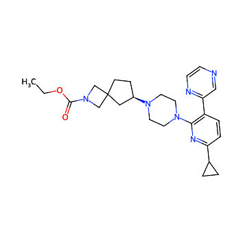 CCOC(=O)N1CC2(CC[C@@H](N3CCN(c4nc(C5CC5)ccc4-c4cnccn4)CC3)C2)C1